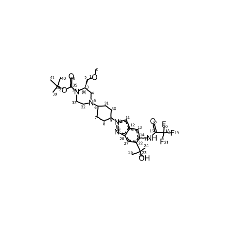 COC[C@H]1CN(C2CCC(n3cc4cc(NC(=O)C(F)(F)F)c(C(C)(C)O)cc4n3)CC2)CCN1C(=O)OC(C)(C)C